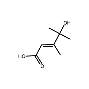 C/C(=C\C(=O)O)C(C)(C)O